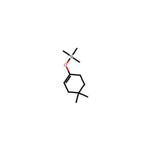 CC1(C)CC=C(O[Si](C)(C)C)CC1